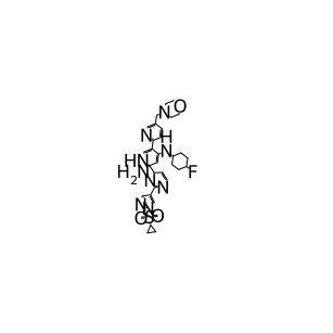 NC1(c2ccnc(-c3cnn(S(=O)(=O)C4CC4)c3)n2)C=C(NC2CCC(F)CC2)C(c2ccc(CN3CCOCC3)cn2)=CN1